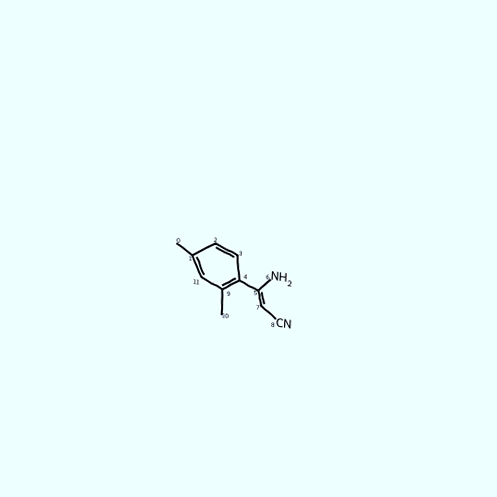 Cc1ccc(C(N)=CC#N)c(C)c1